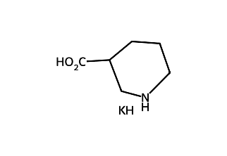 O=C(O)C1CCCNC1.[KH]